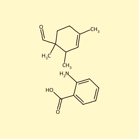 CC1=CC(C)C(C)(C=O)CC1.Nc1ccccc1C(=O)O